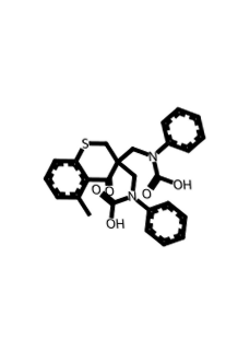 Cc1cccc2c1C(=O)C(CN(C(=O)O)c1ccccc1)(CN(C(=O)O)c1ccccc1)CS2